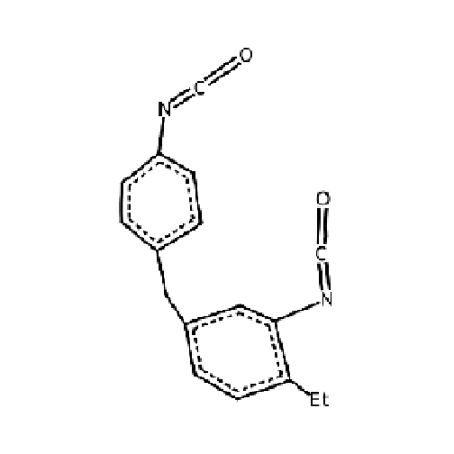 CCc1ccc(Cc2ccc(N=C=O)cc2)cc1N=C=O